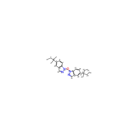 CCC(C)(C)c1ccc2c(cnn2On2ncc3cc(C(C)(CC)CC)ccc32)c1